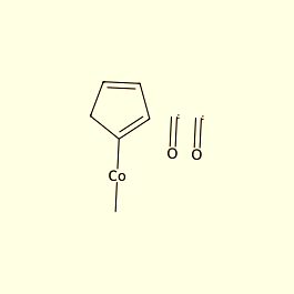 [CH3][Co][C]1=CC=CC1.[C]=O.[C]=O